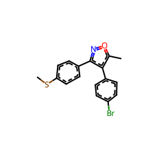 CSc1ccc(-c2noc(C)c2-c2ccc(Br)cc2)cc1